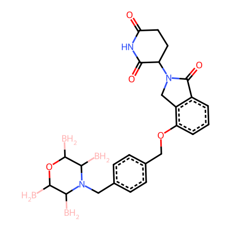 BC1OC(B)C(B)N(Cc2ccc(COc3cccc4c3CN(C3CCC(=O)NC3=O)C4=O)cc2)C1B